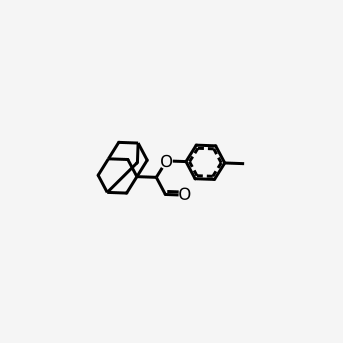 Cc1ccc(OC(C=O)C23CC4CC(CC(C4)C2)C3)cc1